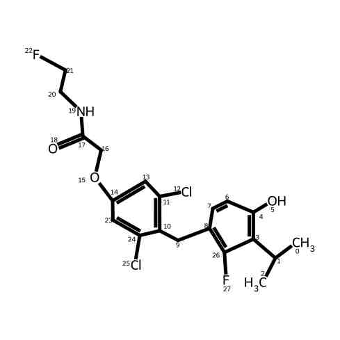 CC(C)c1c(O)ccc(Cc2c(Cl)cc(OCC(=O)NCCF)cc2Cl)c1F